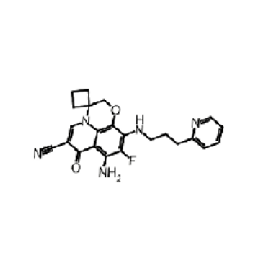 N#Cc1cn2c3c(c(NCCCc4ccccn4)c(F)c(N)c3c1=O)OCC21CCC1